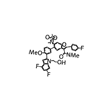 CNC(=O)c1c(-c2ccc(F)cc2)oc2cc(N(C)S(C)(=O)=O)c(-c3ccc(OC)c(-c4cc5c(F)cc(F)cc5n4CCO)c3)cc12